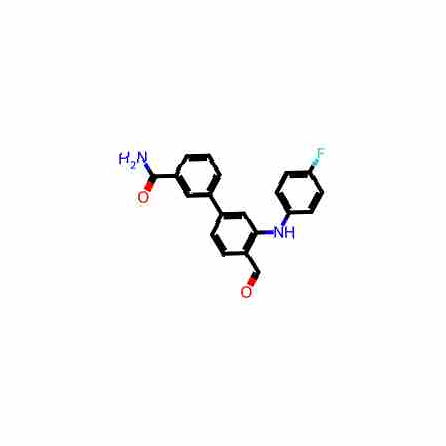 NC(=O)c1cccc(-c2ccc(C=O)c(Nc3ccc(F)cc3)c2)c1